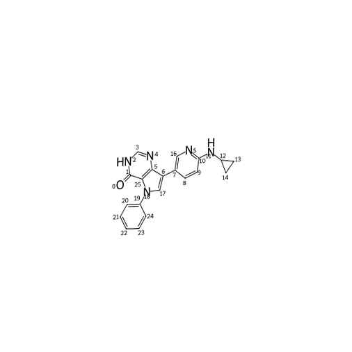 O=c1[nH]cnc2c(-c3ccc(NC4CC4)nc3)cn(-c3ccccc3)c12